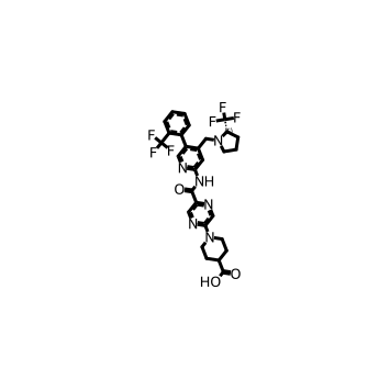 O=C(Nc1cc(CN2CCC[C@H]2C(F)(F)F)c(-c2ccccc2C(F)(F)F)cn1)c1cnc(N2CCC(C(=O)O)CC2)cn1